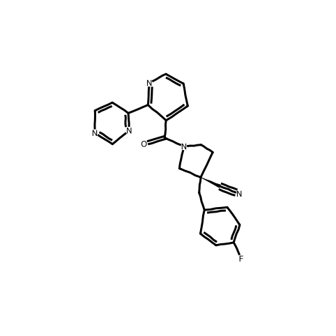 N#C[C@]1(Cc2ccc(F)cc2)CCN(C(=O)c2cccnc2-c2ccncn2)C1